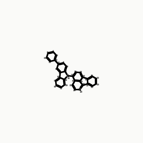 c1ccc(-c2ccc3c(c2)c2ccccc2n3-c2ccc3c4c(nccc24)-c2ccccc2-3)cc1